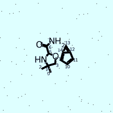 CC1(C)COC(C(N)=O)N1.c1cc2cc-2c1